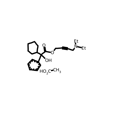 CC(=O)O.CCN(CC)CC#CCOC(=O)C(O)(c1ccccc1)C1CCCCC1